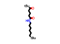 CC(C)(C)CCCCCCNC(=O)CCCC(=O)C(C)(C)C